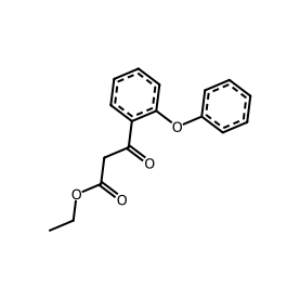 CCOC(=O)CC(=O)c1ccccc1Oc1ccccc1